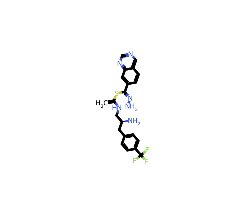 C=C(NC[C@@H](N)Cc1ccc(C(F)(F)F)cc1)S/C(=N\N)c1ccc2cncnc2c1